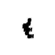 COCc1cccc(-n2nnc3cnc(Nc4cccc(CCO)c4)nc32)c1